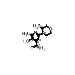 Cc1nc(N2CCOCC2C)cc(C(N)=O)c1C